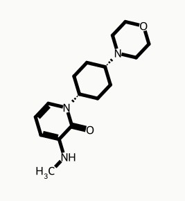 CNc1cccn([C@H]2CC[C@@H](N3CCOCC3)CC2)c1=O